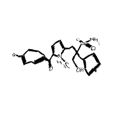 Cn1c(CC(CO)(c2ccccc2)S(N)(=O)=O)ccc1C(=O)c1ccc(Br)cc1